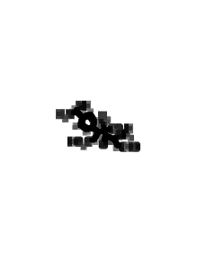 N=C(N)c1ccc(C(CC(=O)O)C(N)(C(=O)O)C(=O)C(N)CC=O)cc1